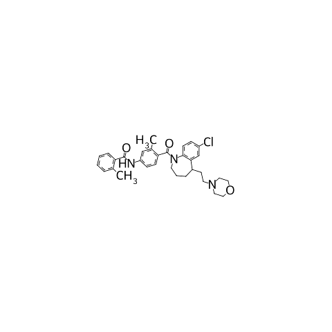 Cc1ccccc1C(=O)Nc1ccc(C(=O)N2CCCC(CCN3CCOCC3)c3cc(Cl)ccc32)c(C)c1